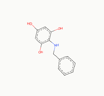 Oc1cc(O)c(NCc2ccccc2)c(O)c1